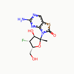 C[C@@]1(n2c(=O)sc3cnc(N)nc32)O[C@H](CO)[C@H](F)[C@H]1O